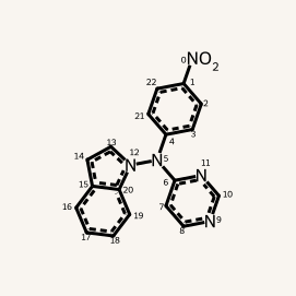 O=[N+]([O-])c1ccc(N(c2ccncn2)n2ccc3ccccc32)cc1